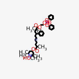 CCC(C)(CC(C/C=C/CCC(C)C(=O)OC1CC(C)(C)N(O)C(C)(C)C1)c1ccccc1)C(=O)OCCOP(=O)(Oc1ccccc1)Oc1ccccc1